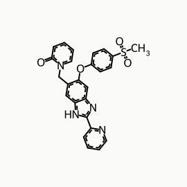 CS(=O)(=O)c1ccc(Oc2cc3nc(-c4ccccn4)[nH]c3cc2Cn2ccccc2=O)cc1